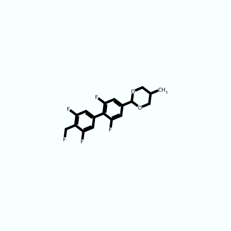 CC1COC(c2cc(F)c(-c3cc(F)c(CF)c(F)c3)c(F)c2)OC1